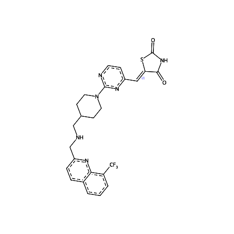 O=C1NC(=O)/C(=C/c2ccnc(N3CCC(CNCc4ccc5cccc(C(F)(F)F)c5n4)CC3)n2)S1